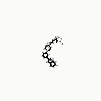 CN(C)CCNC1CCN(c2cccc(-c3cc4ccccc4[nH]3)c2)CC1